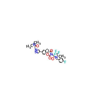 C[C@H](N(Cc1ccc(F)cc1)C(=O)CN1C(=O)O[C@@]2(CCc3cc(-c4cnn(CC(=O)N(C)C)c4)ccc32)C1=O)C(F)(F)F